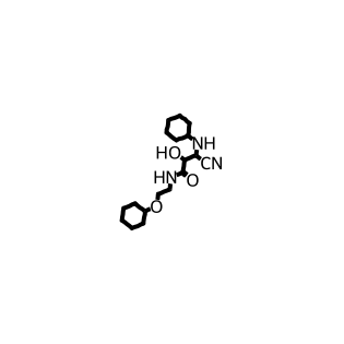 N#CC(NC1CCCCC1)C(O)C(=O)NCCOC1CCCCC1